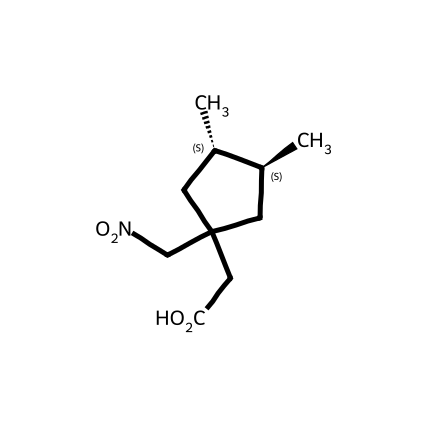 C[C@H]1CC(CC(=O)O)(C[N+](=O)[O-])C[C@@H]1C